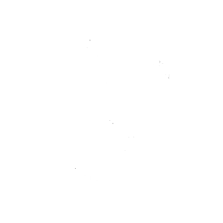 Cc1c(C(N)=O)ccc(C#N)c1-c1cc(C(=O)Nc2c(Cl)cc(C(O)(C(F)(F)F)C(F)(F)F)cc2Br)ccc1C#N